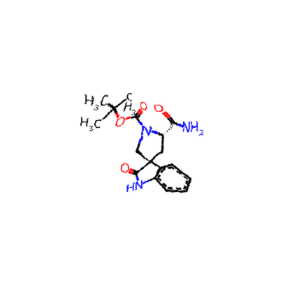 CC(C)(C)OC(=O)N1C[C@]2(C[C@H]1C(N)=O)C(=O)Nc1ccccc12